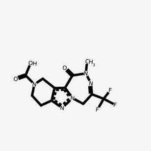 CN1N=C(C(F)(F)F)Cn2nc3c(c2C1=O)CN(C(=O)O)CC3